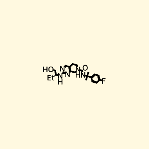 CC[C@@H](CO)Nc1ncc2c(n1)CN(C(=O)NC(C)(C)c1ccc(F)cc1)CC2